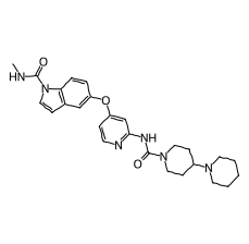 CNC(=O)n1ccc2cc(Oc3ccnc(NC(=O)N4CCC(N5CCCCC5)CC4)c3)ccc21